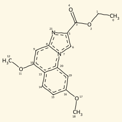 CCOC(=O)c1cn2c(cc(OC)c3ccc(OC)cc32)n1